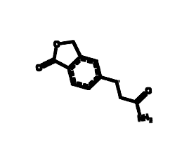 NC(=O)C[CH]c1ccc2c(c1)COC2=O